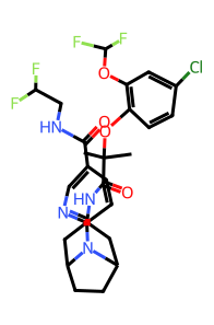 CC(C)(Oc1ccc(Cl)cc1OC(F)F)C(=O)NC1CC2CCC(C1)N2c1ccc(C(=O)NCC(F)F)cn1